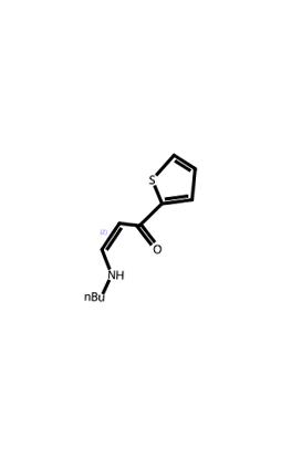 CCCCN/C=C\C(=O)c1cccs1